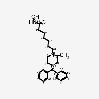 CC1CN(C(c2ccccc2)c2ccccc2)CCN1CCCCCCC(=O)NO